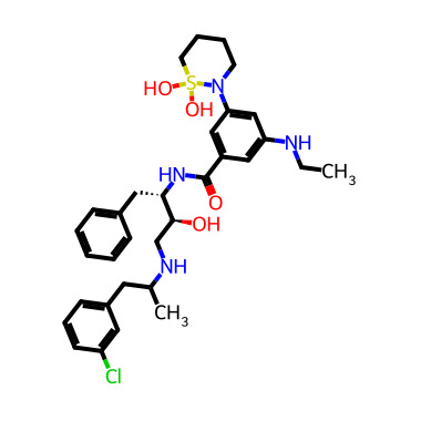 CCNc1cc(C(=O)N[C@@H](Cc2ccccc2)[C@@H](O)CNC(C)Cc2cccc(Cl)c2)cc(N2CCCCS2(O)O)c1